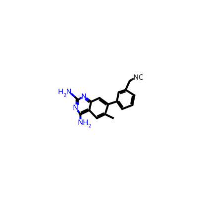 [C-]#[N+]Cc1cccc(-c2cc3nc(N)nc(N)c3cc2C)c1